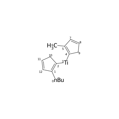 CCCCC1=[C]([Ti][C]2=C(C)C=CC2)CC=C1